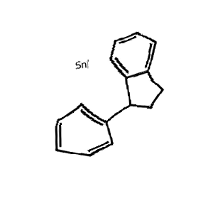 [Sn].c1ccc(C2CCc3ccccc32)cc1